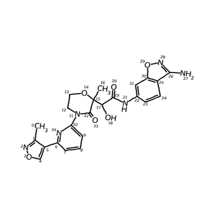 Cc1nocc1-c1cccc(N2CCOC(C)(C(O)C(=O)Nc3ccc4c(N)noc4c3)C2=O)n1